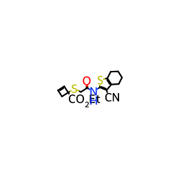 CCOC(=O)C1(SCC(=O)Nc2sc3c(c2C#N)CCCC3)C=CC1